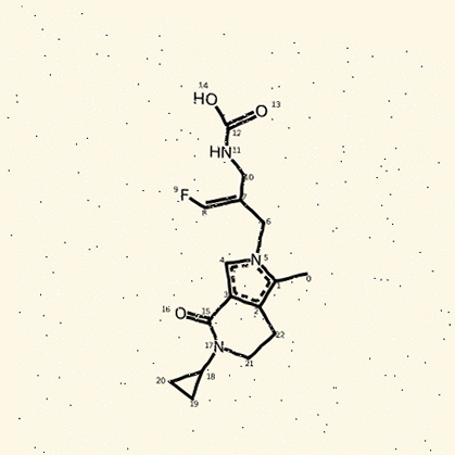 Cc1c2c(cn1CC(=CF)CNC(=O)O)C(=O)N(C1CC1)CC2